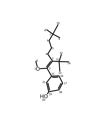 COC(=C(CCCC(C)(C)C)C(C)(C)C)c1cccc(O)c1